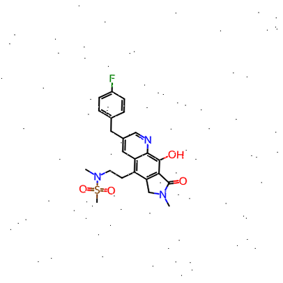 CN1Cc2c(c(O)c3ncc(Cc4ccc(F)cc4)cc3c2CCN(C)S(C)(=O)=O)C1=O